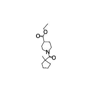 CCOC(=O)C1CCN(C(=O)C2(C)CCCC2)CC1